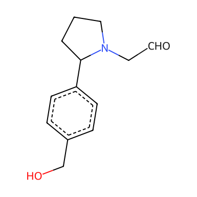 O=CCN1CCCC1c1ccc(CO)cc1